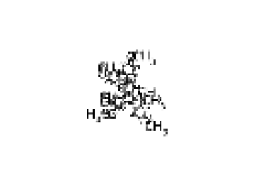 CCc1ccc2c(c1)C(C)(C)c1c3c(c4cc(OC)c(OC)cc4c1-2)OC(c1ccc(OC)cc1)(c1ccc(OC)cc1)C=C3